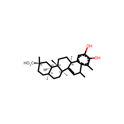 Cc1c(O)c(O)cc2c1C(C)C=C1[C@@]2(C)CC[C@@]2(C)[C@@H]3C[C@](C)(C(=O)O)CC[C@]3(C)CC[C@]12C